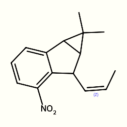 C/C=C\C1c2c(cccc2[N+](=O)[O-])C2C1C2(C)C